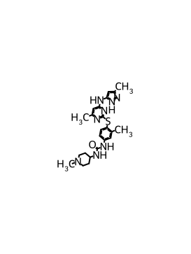 Cc1cc(Nc2cc(C)nc(Sc3ccc(NC(=O)NC4CCN(C)CC4)cc3C)n2)[nH]n1